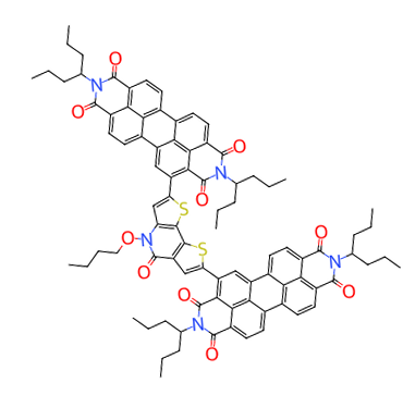 CCCCOn1c(=O)c2cc(-c3cc4c5ccc6c7c(ccc(c8ccc9c(c3C(=O)N(C(CCC)CCC)C9=O)c84)c75)C(=O)N(C(CCC)CCC)C6=O)sc2c2sc(-c3cc4c5ccc6c7c(ccc(c8ccc9c(c3C(=O)N(C(CCC)CCC)C9=O)c84)c75)C(=O)N(C(CCC)CCC)C6=O)cc21